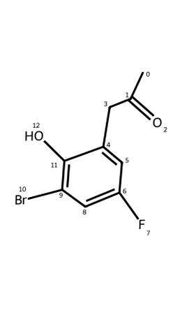 CC(=O)Cc1cc(F)cc(Br)c1O